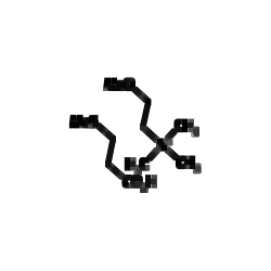 COCC[N+](C)(C)C.CSCCC(=O)O